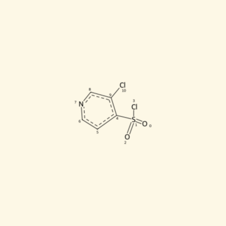 O=S(=O)(Cl)c1ccncc1Cl